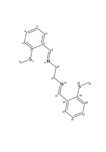 CSc1ccccc1C=NCCN=Cc1ccccc1SC